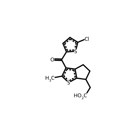 Cc1sc2c(c1C(=O)c1ccc(Cl)s1)CCC2CC(=O)O